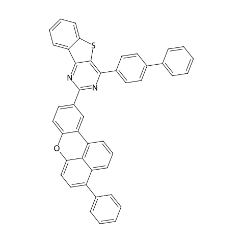 c1ccc(-c2ccc(-c3nc(-c4ccc5c(c4)-c4cccc6c(-c7ccccc7)ccc(c46)O5)nc4c3sc3ccccc34)cc2)cc1